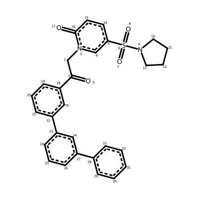 O=C(Cn1cc(S(=O)(=O)N2CCCC2)ccc1=O)c1cccc(-c2cccc(-c3ccccc3)c2)c1